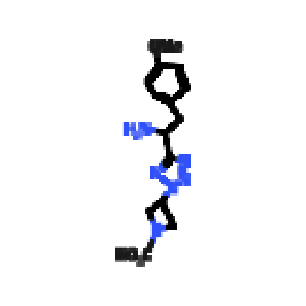 COc1ccc(CC(N)c2nnn(C3CN(C(=O)O)C3)n2)cc1